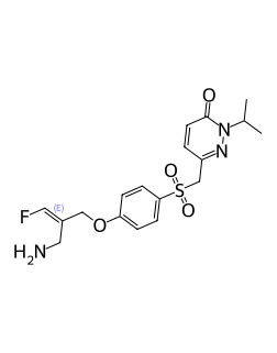 CC(C)n1nc(CS(=O)(=O)c2ccc(OC/C(=C/F)CN)cc2)ccc1=O